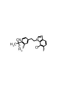 CC(C)(C#N)c1ccc(CCn2cnc3ccc(F)c(Cl)c32)cc1F